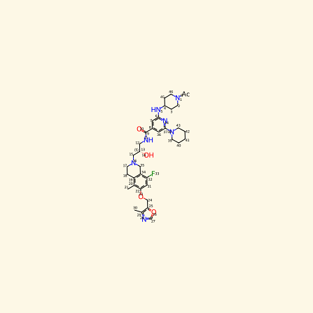 CC(=O)N1CCC(Nc2cc(C(=O)NC[C@H](O)CN3CCc4c(C)c(OCc5ocnc5C)cc(F)c4C3)cc(N3CCCCC3)n2)CC1